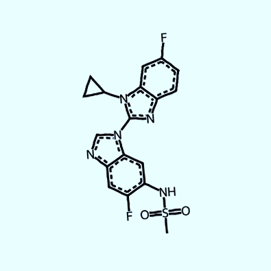 CS(=O)(=O)Nc1cc2c(cc1F)ncn2-c1nc2ccc(F)cc2n1C1CC1